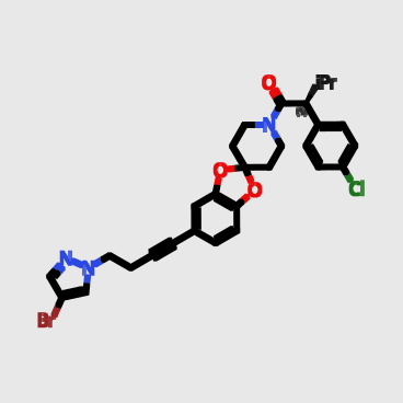 CC(C)[C@H](C(=O)N1CCC2(CC1)Oc1ccc(C#CCCn3cc(Br)cn3)cc1O2)c1ccc(Cl)cc1